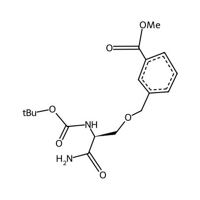 COC(=O)c1cccc(COC[C@H](NC(=O)OC(C)(C)C)C(N)=O)c1